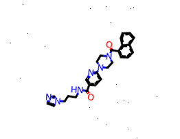 O=C(NCCCn1ccnc1)c1ccc(N2CCN(C(=O)c3cccc4ccccc34)CC2)nc1